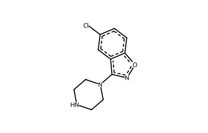 Clc1ccc2onc(N3CCNCC3)c2c1